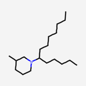 CCCCCCCC(CCCCC)N1CCCC(C)C1